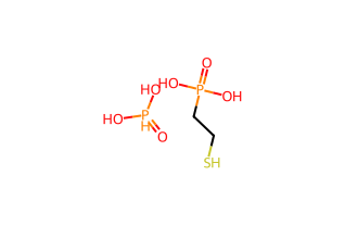 O=P(O)(O)CCS.O=[PH](O)O